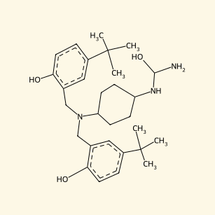 CC(C)(C)c1ccc(O)c(CN(Cc2cc(C(C)(C)C)ccc2O)C2CCC(NC(N)O)CC2)c1